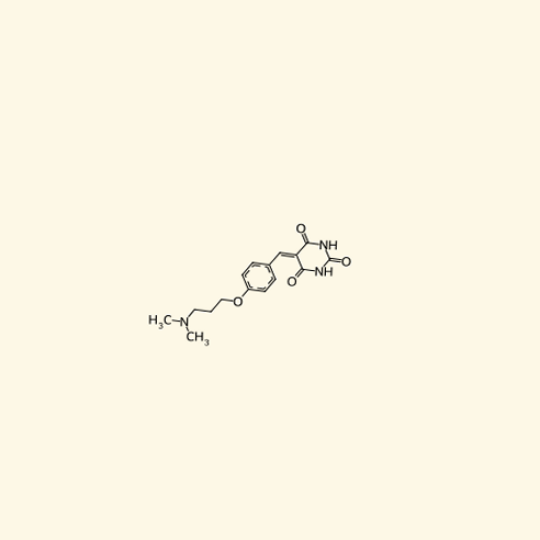 CN(C)CCCOc1ccc(C=C2C(=O)NC(=O)NC2=O)cc1